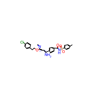 C=N/C(=C\C=C(/N)c1ccc(C(=O)NS(=O)(=O)c2ccc(C)cc2)cc1)OCCc1ccc(Cl)cc1